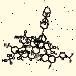 COC(=O)N[C@H](C(=O)N[C@@H](Cc1ccc(C#Cc2cnc(N3CC4CCC(C3)N4C3COC3)nc2)cc1)[C@H](CN(Cc1c(F)cc(-c2ccn(C(F)F)n2)cc1F)NC(=O)[C@@H](NC(=O)OC)C(C)(C)C(F)(F)F)OC(=O)CC(C)(C)c1c(CC(=O)NC(Cc2c[nH]c3ccccc23)C(=O)OC)cc(C)cc1OP(=O)(O)O)C(C)(C)C(F)(F)F